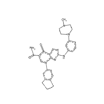 CN1CCN(c2cccc(Nc3ncc4c(=O)c(C(N)=O)cn(-c5ccc6c(c5)CCC6)c4n3)c2)CC1